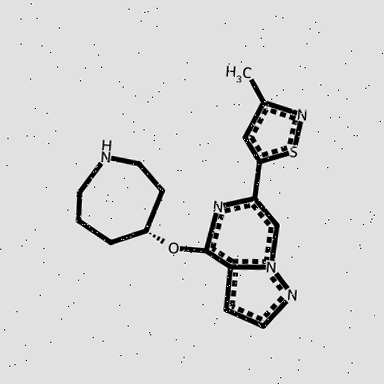 Cc1cc(-c2cn3nccc3c(O[C@@H]3CCCNCC3)n2)sn1